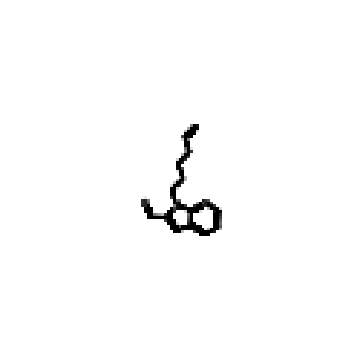 C=CCCCCn1c(C=O)cc2cccnc21